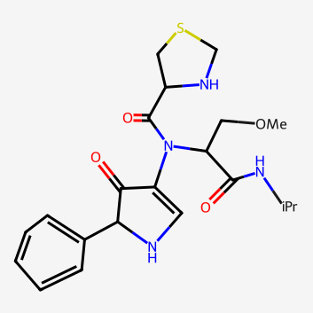 COCC(C(=O)NC(C)C)N(C(=O)C1CSCN1)C1=CNC(c2ccccc2)C1=O